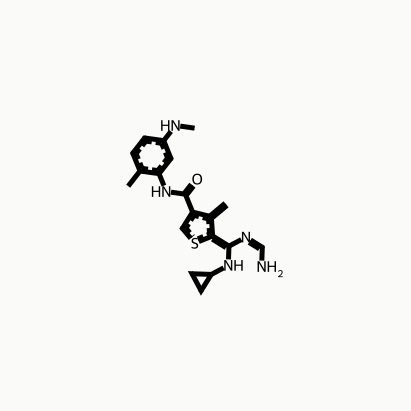 C=c1c(C(=O)Nc2cc(NC)ccc2C)cs/c1=C(/N=C\N)NC1CC1